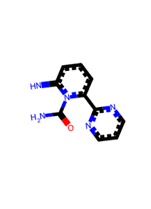 N=c1cccc(-c2ncccn2)n1C(N)=O